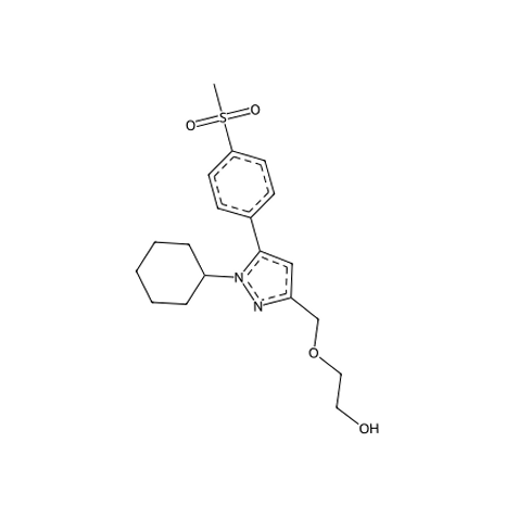 CS(=O)(=O)c1ccc(-c2cc(COCCO)nn2C2CCCCC2)cc1